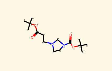 CC(C)(C)OC(=O)CCN1CCN(C(=O)OC(C)(C)C)C1